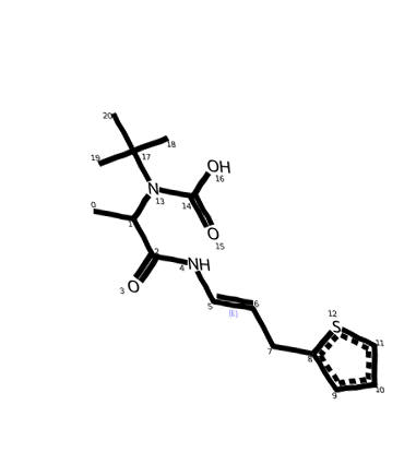 CC(C(=O)N/C=C/Cc1cccs1)N(C(=O)O)C(C)(C)C